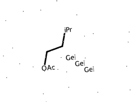 CC(=O)OCCC(C)C.[Ge].[Ge].[Ge]